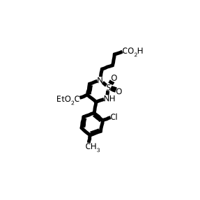 CCOC(=O)C1=CN(CCCC(=O)O)S(=O)(=O)NC1c1ccc(C)cc1Cl